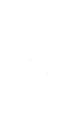 CCOc1cc([C@]2(F)C[C@H](Oc3ccc(-c4cc(O)no4)cn3)C2)ccn1